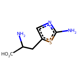 Nc1ncc(CC(N)C(=O)O)s1